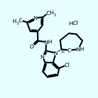 Cc1cc(C(=O)Nc2nc3cccc(Cl)c3n2[C@@H]2CCCCNC2)cc(C)n1.Cl